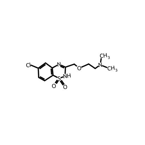 CN(C)CCOCC1=Nc2cc(Cl)ccc2S(=O)(=O)N1